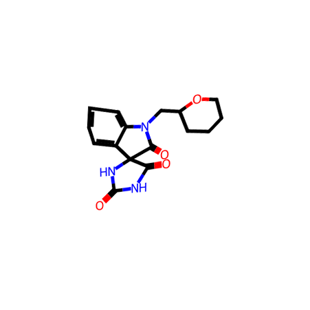 O=C1NC(=O)C2(N1)C(=O)N(CC1CCCCO1)c1ccccc12